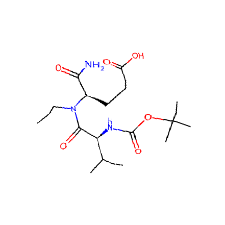 CCN(C(=O)[C@@H](NC(=O)OC(C)(C)C)C(C)C)[C@H](CCC(=O)O)C(N)=O